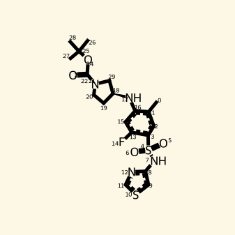 Cc1cc(S(=O)(=O)Nc2cscn2)c(F)cc1N[C@H]1CCN(C(=O)OC(C)(C)C)C1